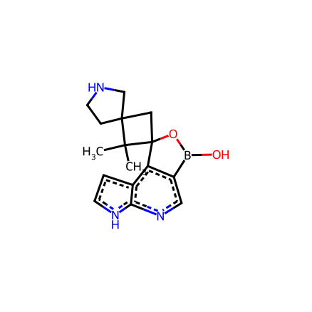 CC1(C)C2(CCNC2)CC12OB(O)c1cnc3[nH]ccc3c12